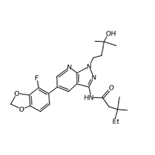 CCC(C)(C)CC(=O)Nc1nn(CCC(C)(C)O)c2ncc(-c3ccc4c(c3F)OCO4)cc12